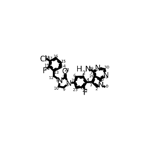 Cn1cc(-c2ccc(N3CCN(Cc4cccc(Cl)c4F)C3=O)cc2F)c2c(N)ncnc21